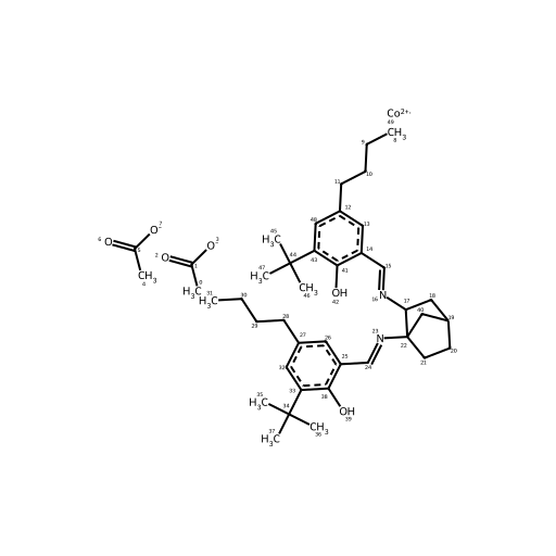 CC(=O)[O-].CC(=O)[O-].CCCCc1cc(C=NC2CC3CCC2(N=Cc2cc(CCCC)cc(C(C)(C)C)c2O)C3)c(O)c(C(C)(C)C)c1.[Co+2]